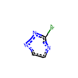 Brc1nc[c]nn1